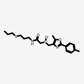 CCCSCCCNC(=O)C[S+]([O-])Cc1nc(-c2ccc(C)cc2)oc1C